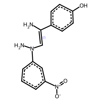 N/C(=C\N(N)c1cccc([N+](=O)[O-])c1)c1ccc(O)cc1